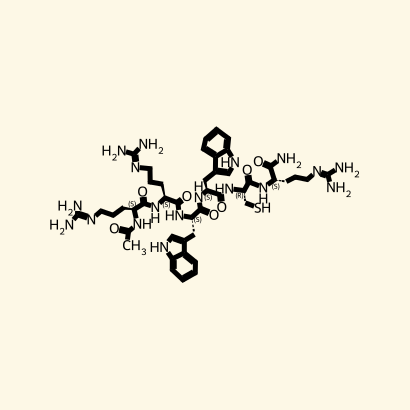 CC(=O)N[C@@H](CCCN=C(N)N)C(=O)N[C@@H](CCCN=C(N)N)C(=O)N[C@@H](Cc1c[nH]c2ccccc12)C(=O)N[C@@H](Cc1c[nH]c2ccccc12)C(=O)N[C@@H](CS)C(=O)N[C@@H](CCCN=C(N)N)C(N)=O